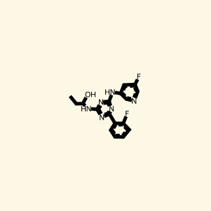 CCC(O)Nc1nc(Nc2cncc(F)c2)nc(-c2ccccc2F)n1